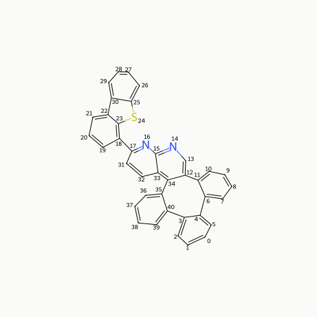 c1ccc2c(c1)-c1ccccc1-c1cnc3nc(-c4cccc5c4sc4ccccc45)ccc3c1-c1ccccc1-2